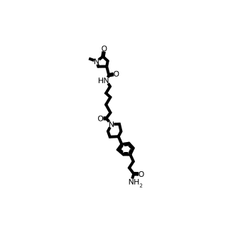 CN1CC(C(=O)NCCCCCC(=O)N2CCC(c3ccc(CCC(N)=O)cc3)CC2)CC1=O